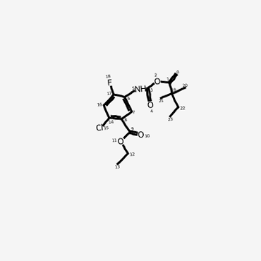 C=C(OC(=O)Nc1cc(C(=O)OCC)c(Cl)cc1F)C(C)(C)CC